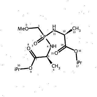 COCP(=O)(N[C@@H](C)C(=O)OC(C)C)N[C@@H](C)C(=O)OC(C)C